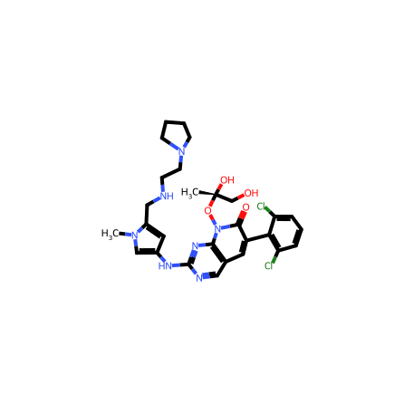 Cn1cc(Nc2ncc3cc(-c4c(Cl)cccc4Cl)c(=O)n(O[C@](C)(O)CO)c3n2)cc1CNCCN1CCCC1